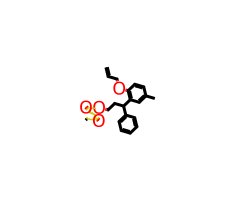 C=CCOc1ccc(C)cc1C(CCOS(C)(=O)=O)c1ccccc1